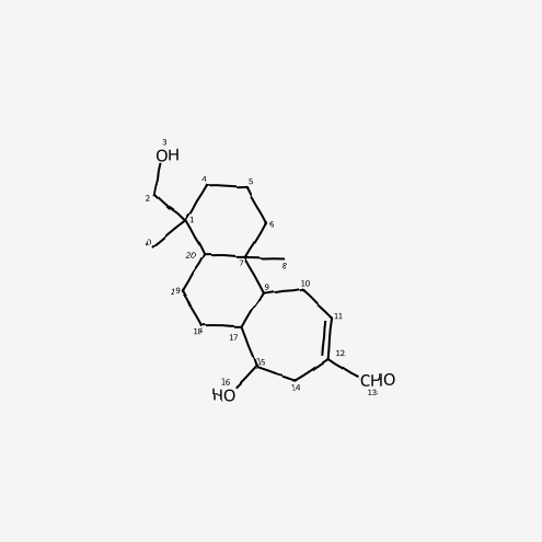 CC1(CO)CCCC2(C)C3CC=C(C=O)CC(O)C3CCC12